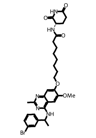 COc1cc2c(NC(C)c3cccc(Br)c3)nc(C)nc2cc1OCCCCCCCC(=O)N[C@H]1CCC(=O)NC1=O